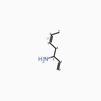 C=CC(N)C/C=C\C